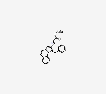 CC(C)(C)OC(=O)/C=C/c1cc2ccc3ccccc3c2n1Cc1ccccc1